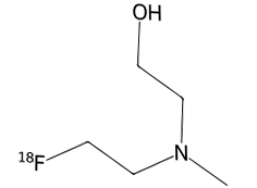 CN(CCO)CC[18F]